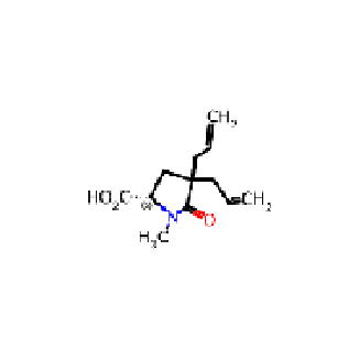 C=CCC1(CC=C)C[C@@H](C(=O)O)N(C)C1=O